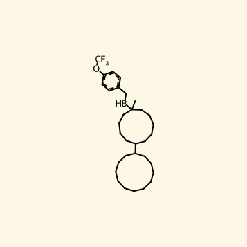 CC1(BCc2ccc(OC(F)(F)F)cc2)CCCCCC(C2CCCCCCCCCCC2)CCCC1